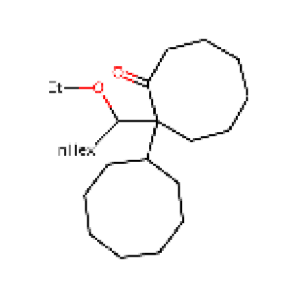 CCCCCCC(OCC)C1(C2CCCCCCC2)CCCCCCC1=O